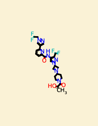 C[C@H](O)C(=O)N1CCC(N2CC(n3cc(NC(=O)c4cccc(-c5cnn(CC(F)F)c5)n4)c(C(F)F)n3)C2)CC1